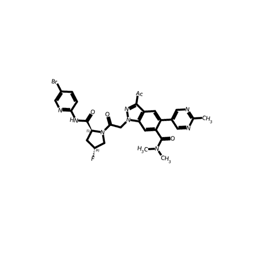 CC(=O)c1nn(CC(=O)N2C[C@H](F)C[C@H]2C(=O)Nc2ccc(Br)cn2)c2cc(C(=O)N(C)C)c(-c3cnc(C)nc3)cc12